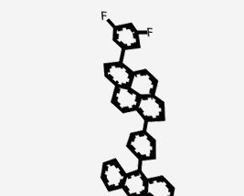 Fc1cc(F)cc(-c2ccc3ccc4c(-c5ccc(-c6c7ccccc7cc7ccccc67)cc5)ccc5ccc2c3c54)c1